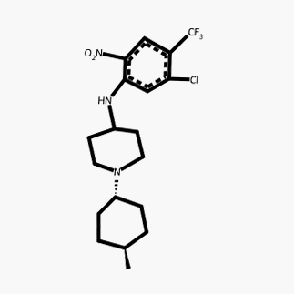 C[C@H]1CC[C@H](N2CCC(Nc3cc(Cl)c(C(F)(F)F)cc3[N+](=O)[O-])CC2)CC1